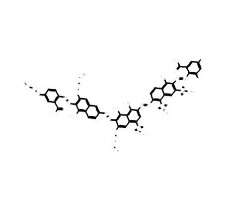 Nc1c(N=Nc2ccc3c(O)c(N=Nc4c(Cl)cc(Cl)cc4C(=O)O)c(S(=O)(=O)O)cc3c2S(=O)(=O)O)cc(S(=O)(=O)O)c2cc(SOOO)c(N=Nc3ccc4c(O)c(N=Nc5ccc(SOOO)cc5C(=O)O)c(SOOO)cc4c3)c(O)c12